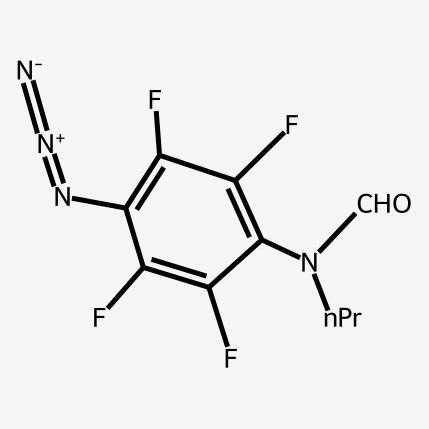 CCCN(C=O)c1c(F)c(F)c(N=[N+]=[N-])c(F)c1F